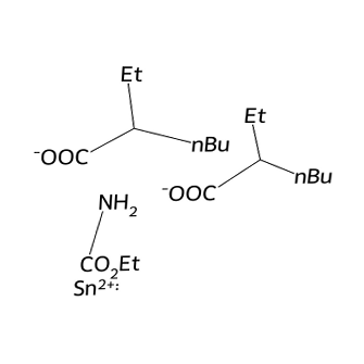 CCCCC(CC)C(=O)[O-].CCCCC(CC)C(=O)[O-].CCOC(N)=O.[Sn+2]